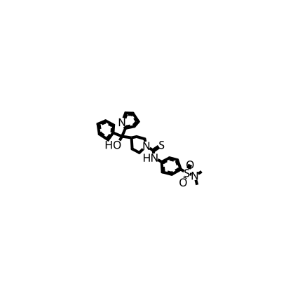 CN(C)S(=O)(=O)c1ccc(NC(=S)N2CCC(C(O)(c3ccccc3)c3ccccn3)CC2)cc1